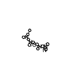 c1ccc(-c2ccc(N(c3ccccc3)c3ccc(-n4c5ccccc5c5c6oc7c(ccc8c7c7ccccc7n8-c7ccc8c(c7)c7ncccc7n8-c7ccccc7)c6ccc54)cc3)cc2)cc1